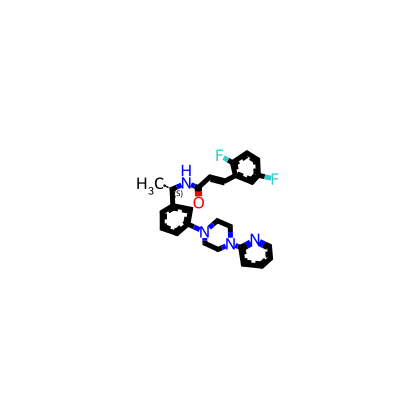 C[C@H](NC(=O)C=Cc1cc(F)ccc1F)c1cccc(N2CCN(c3ccccn3)CC2)c1